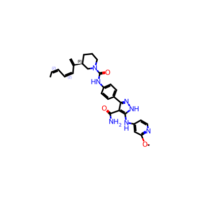 C=C(/C=C\C=C/C)[C@H]1CCCN(C(=O)Nc2ccc(-c3n[nH]c(Nc4ccnc(OC)c4)c3C(N)=O)cc2)C1